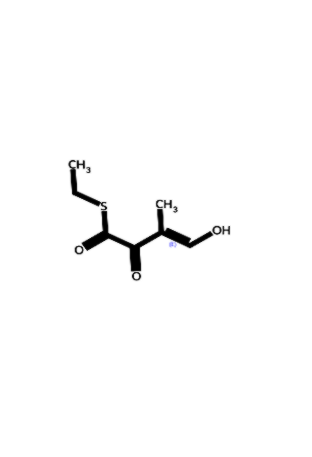 CCSC(=O)C(=O)/C(C)=C/O